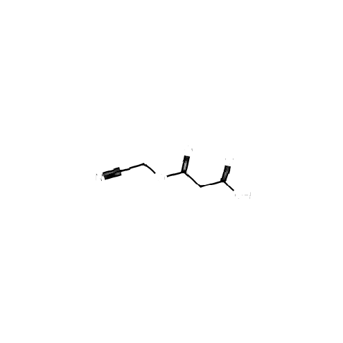 N#CCOC(=O)CC(=O)O